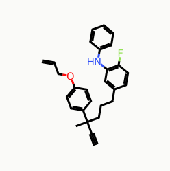 C#CC(C)(CCCc1ccc(F)c(Nc2ccccc2)c1)c1ccc(OCC=C)cc1